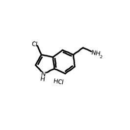 Cl.NCc1ccc2[nH]cc(Cl)c2c1